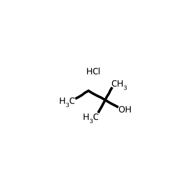 CCC(C)(C)O.Cl